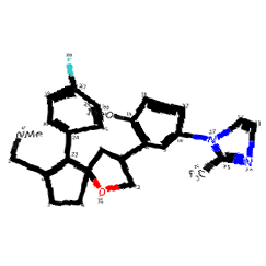 CNCC1CCC2(CC(c3cc(-n4ccnc4C(F)(F)F)ccc3OC)CO2)C1c1ccc(F)cc1